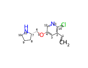 C=Cc1cc(OC[C@@H]2CCCN2)cnc1Cl